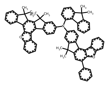 CC1(C)c2ccccc2-c2c(N(c3ccc4c(c3)C(C)(C)c3cc(-c5ccccc5)c5oc6ccccc6c5c3-4)c3ccc4c(c3)C(C)(C)c3c5c(c6oc7ccccc7c6c3-4)-c3ccccc3C5(C)C)cccc21